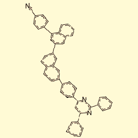 N#Cc1ccc(-c2cc(-c3ccc4ccc(-c5ccc(-c6cc(-c7ccccc7)nc(-c7ccccc7)n6)cc5)cc4c3)cc3ccccc23)cc1